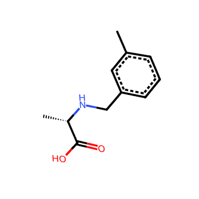 Cc1cccc(CN[C@@H](C)C(=O)O)c1